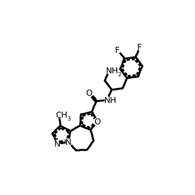 Cc1cnn2c1-c1cc(C(=O)NC(CN)Cc3ccc(F)c(F)c3)oc1CCC2